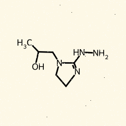 CC(O)CN1CCN=C1NN